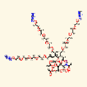 CC(=O)NC1C(O)OC(COC(C)=O)C(OC2OC(CCCOCCOCCOCCOCCON=[N+]=[N-])C(CCOCCOCCOCCOCCON=[N+]=[N-])C(CCOCCOCCOCCOCCON=[N+]=[N-])C2OC(C)=O)C1OC(C)=O